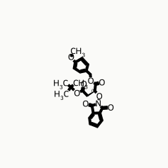 COc1ccc(COC(=O)[C@H](CC(=O)OC(C)(C)C)ON2C(=O)c3ccccc3C2=O)cc1